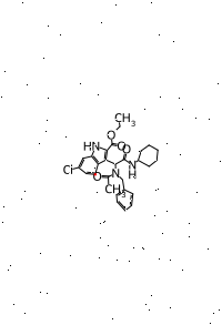 CCOC(=O)c1[nH]c2cc(Cl)ccc2c1C(C(=O)NC1CCCCC1)N(Cc1ccccc1)C(C)=O